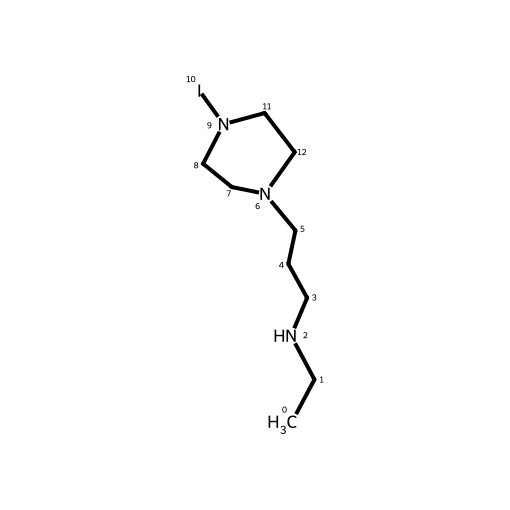 CCNCCCN1CCN(I)CC1